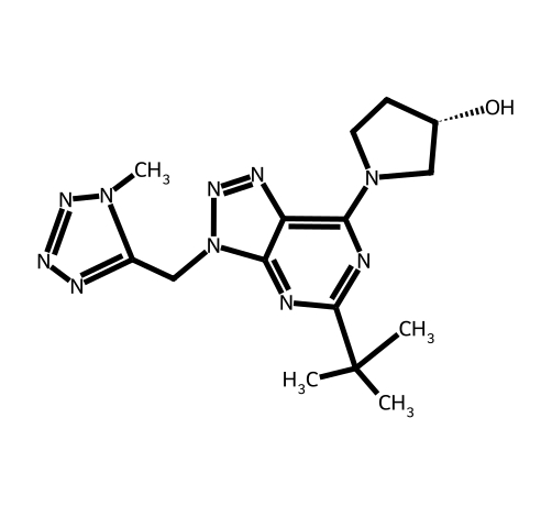 Cn1nnnc1Cn1nnc2c(N3CC[C@H](O)C3)nc(C(C)(C)C)nc21